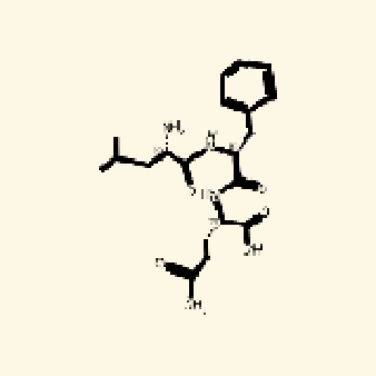 CC(C)C[C@H](N)C(=O)N[C@@H](Cc1ccccc1)C(=O)N[C@@H](CCC(N)=O)C(=O)O